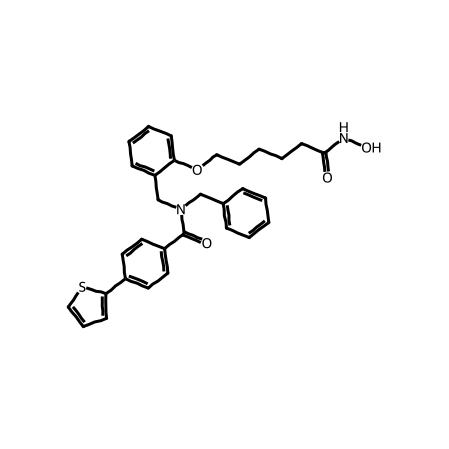 O=C(CCCCCOc1ccccc1CN(Cc1ccccc1)C(=O)c1ccc(-c2cccs2)cc1)NO